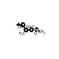 Cc1cc(-c2cccc(C3(C)CC3)c2)c(O)c(-c2ccc(-n3ccn(C)c3=O)c(Cl)c2)c1